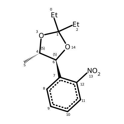 CCC1(CC)O[C@@H](C)[C@H](c2ccccc2[N+](=O)[O-])O1